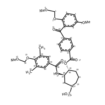 COCOc1ccc(OC)cc1C(=O)c1ccc(C(=O)O[C@@H]2CCCN(C(=O)O)C[C@H]2NC(=O)c2cc(C)c(OCOC)c(C)c2)cc1